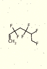 C=CC(F)(F)CC(F)(F)C(F)CF